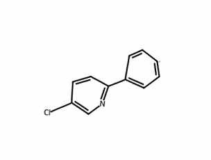 Clc1ccc(-c2cc[c]cc2)nc1